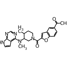 CC(=O)c1ccc2oc(C(=O)N3CCC(C)C(N(C)c4ncnc5[nH]ccc45)C3)cc2c1